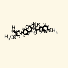 CO[C@@H]1CN(c2ccc3c(c2)OC[C@H](NC(=O)c2sc4nc(C)ccc4c2N)C3)C[C@@H]1N